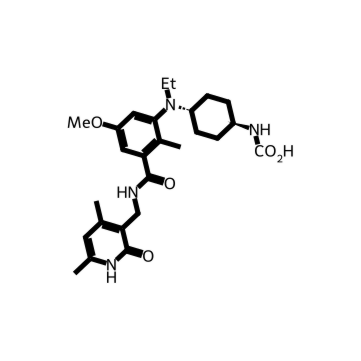 CCN(c1cc(OC)cc(C(=O)NCc2c(C)cc(C)[nH]c2=O)c1C)[C@H]1CC[C@H](NC(=O)O)CC1